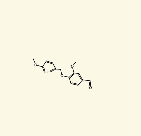 COc1ccc(COc2ccc(C=O)cc2OC)cc1